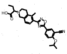 CCC(C(=O)O)N1CCc2c(ccc(-c3noc(-c4ccc(OC(C)C)c(C#N)c4)n3)c2C)C1